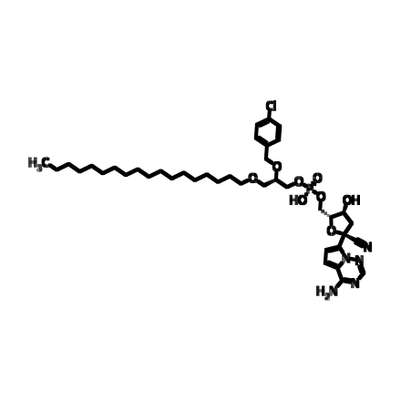 CCCCCCCCCCCCCCCCCCOC[C@H](COP(=O)(O)OC[C@H]1O[C@@](C#N)(c2ccc3c(N)ncnn23)C[C@@H]1O)OCc1ccc(Cl)cc1